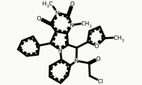 Cc1ccc(C2c3c4c(c(-c5ccccc5)n3-c3ccccc3N2C(=O)CCl)c(=O)n(C)c(=O)n4C)o1